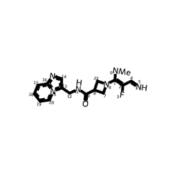 CN/C(=C(/F)C=N)N1CC(C(=O)NCc2cnc3ccccn23)C1